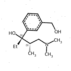 CC[C@@](O)(c1cccc(CO)c1)[C@@H](C)CN(C)C